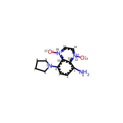 Nc1ccc(N2CCCC2)c2c1[n+]([O-])cc[n+]2[O-]